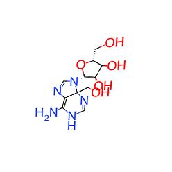 NC1=C2N=CN([C@@H]3O[C@H](CO)[C@@H](O)[C@H]3O)C2(CO)N=CN1